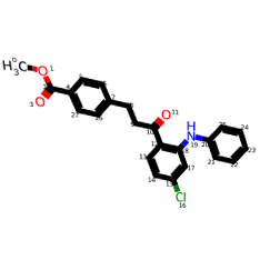 COC(=O)c1ccc(CCC(=O)c2ccc(Cl)cc2Nc2ccccc2)cc1